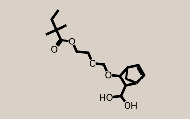 CCC(C)(C)C(=O)OCCOCOC1C2C=CC(C2)C1C(O)O